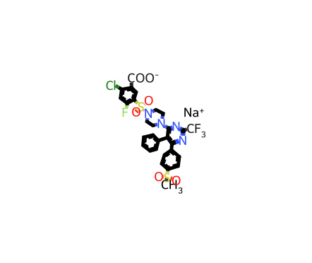 CS(=O)(=O)c1ccc(-c2nc(C(F)(F)F)nc(N3CCN(S(=O)(=O)c4cc(C(=O)[O-])c(Cl)cc4F)CC3)c2-c2ccccc2)cc1.[Na+]